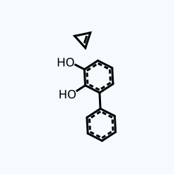 C1=CC1.Oc1cccc(-c2ccccc2)c1O